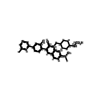 Cc1cncc(-c2ccc(-c3cc4cnc([S+](C)[O-])nc4n(CC4CCC(NC(=O)O)CC4)c3=O)c(Cl)c2)n1